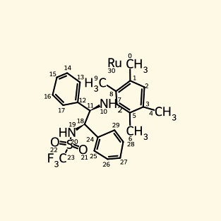 Cc1cc(C)c(C)cc1C.N[C@H](c1ccccc1)[C@H](NS(=O)(=O)C(F)(F)F)c1ccccc1.[Ru]